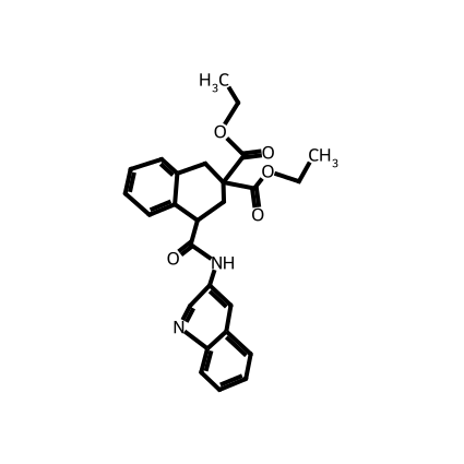 CCOC(=O)C1(C(=O)OCC)Cc2ccccc2C(C(=O)Nc2cnc3ccccc3c2)C1